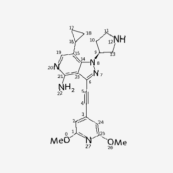 COc1cc(C#Cc2nn([C@H]3CCNC3)c3c(C4CC4)cnc(N)c23)cc(OC)n1